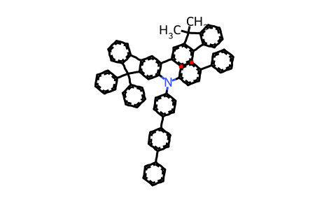 CC1(C)c2ccccc2-c2ccc(-c3cc4c(cc3N(c3ccc(-c5ccccc5)cc3)c3ccc(-c5ccc(-c6ccccc6)cc5)cc3)C(c3ccccc3)(c3ccccc3)c3ccccc3-4)cc21